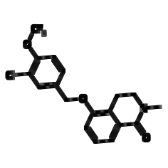 CN1CCc2c(OCc3ccc(OC(F)(F)F)c(Cl)c3)cccc2C1=O